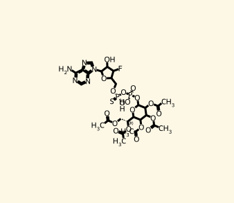 CC(=O)OC[C@@H](OC(C)=O)C1OC(OP(=O)(O)OP(O)(=S)OCC2OC(n3cnc4c(N)ncnc43)C(O)C2F)C(OC(C)=O)C(OC(C)=O)C1OC(C)=O